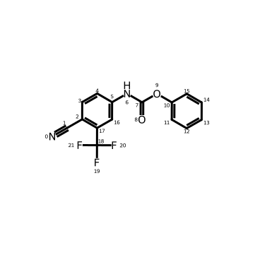 N#Cc1ccc(NC(=O)Oc2ccccc2)cc1C(F)(F)F